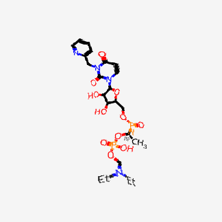 CCN(CC)COP(=O)(O)O[C@H](C)[PH](=O)OCC1OC(n2ccc(=O)n(Cc3ccccn3)c2=O)C(O)C1O